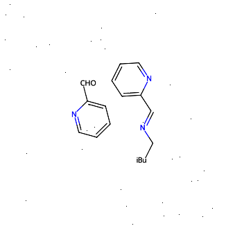 CCC(C)C/N=C/c1ccccn1.O=Cc1ccccn1